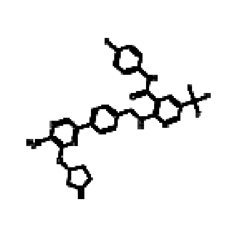 Nc1ncc(-c2ccc(CNc3ncc(C(F)(F)F)cc3C(=O)Nc3ccc(F)cc3)cc2)nc1O[C@H]1CCNC1